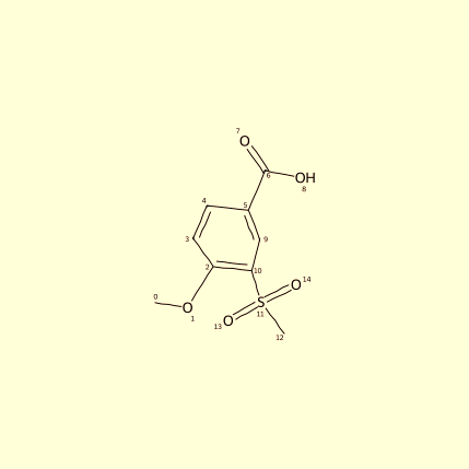 COc1ccc(C(=O)O)cc1S(C)(=O)=O